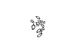 c1ccc(-c2nc(-c3ccccc3)nc(-c3cc(-c4ccccc4-c4ccccc4)cnc3-c3ccc4sc5ccc6c(c7ccccc7n6-c6ccccc6)c5c4c3)n2)cc1